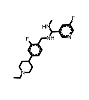 CCN1CCC(c2ccc(CNC(NC)c3cncc(F)c3)c(F)c2)CC1